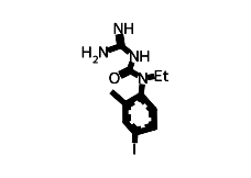 CCN(C(=O)NC(=N)N)c1ccc(I)cc1C